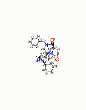 C=C/C(=C\C=C/C)C12C3C[C@H]4C(=O)N(Cc5ccccc5)CC([C@H]5Nc6ccccc6C51O3)N42